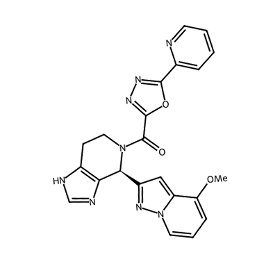 COc1cccn2nc([C@H]3c4nc[nH]c4CCN3C(=O)c3nnc(-c4ccccn4)o3)cc12